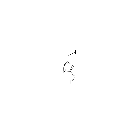 ICc1c[nH]c(CI)c1